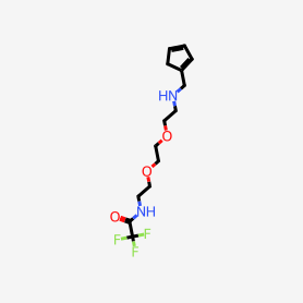 O=C(NCCOCCOCCNCC1=CC=CC1)C(F)(F)F